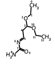 CCOC(CC=NC(N)=O)OCC